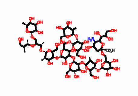 CC1C(O)[C@H](O)[C@H](CO)O[C@H]1O[C@@H]1C(O)[C@H](O)C(CO)O[C@@H]1OCC1O[C@@H](O[C@@H]2C(CO)O[C@@H](O[C@@H](C)C(CO[C@@H]3O[C@@H](C)[C@@H](O)C(O)C3O)O[C@@H](C)[C@@H](C)CO)[C@@H](C)C2O)[C@H](O)C(O[C@H]2O[C@H](CO)[C@@H](O)C(O)C2O[C@@H]2OC(CO)[C@@H](O[C@@H]3OC(CO[C@]4(C(=O)O)C[C@@H](O)[C@@H](N)C([C@H](O)[C@H](O)CO)O4)[C@H](O)C(O)[C@@H]3O)C(O)[C@@H]2C)[C@@H]1O